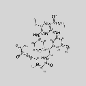 CCc1nc(C(N)=O)c(Nc2cc(CCNC(=O)[C@H](C)N(C)CC#CC(=O)N(C)C)cc(OC)c2)nc1NC1CCOCC1